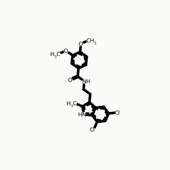 COc1ccc(C(=O)NCCc2c(C)[nH]c3c(Cl)cc(Cl)cc23)cc1OC